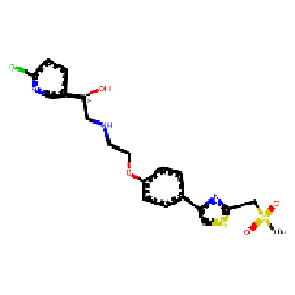 CC(C)(C)S(=O)(=O)Cc1nc(-c2ccc(OCCNC[C@H](O)c3ccc(Cl)nc3)cc2)cs1